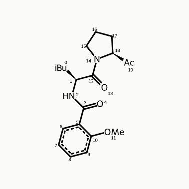 CCC(C)[C@H](NC(=O)c1ccccc1OC)C(=O)N1CCC[C@H]1C(C)=O